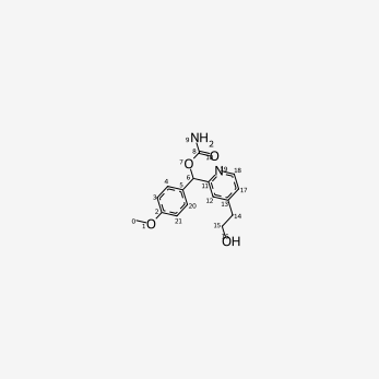 COc1ccc(C(OC(N)=O)c2cc(CCO)ccn2)cc1